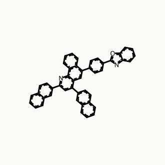 c1ccc2cc(-c3cc(-c4ccc5ccccc5c4)c4cc(-c5ccc(-c6nc7ccccc7o6)cc5)c5ccccc5c4n3)ccc2c1